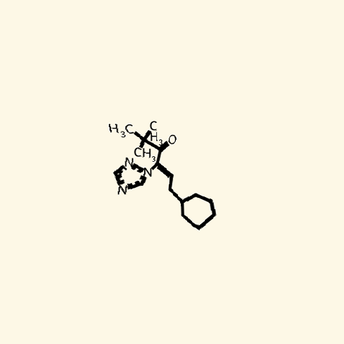 CC(C)(C)C(=O)C(=CCC1CCCCC1)n1cncn1